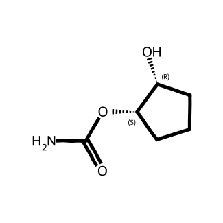 NC(=O)O[C@H]1CCC[C@H]1O